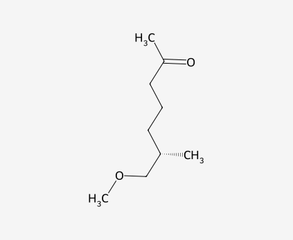 COC[C@@H](C)CCCC(C)=O